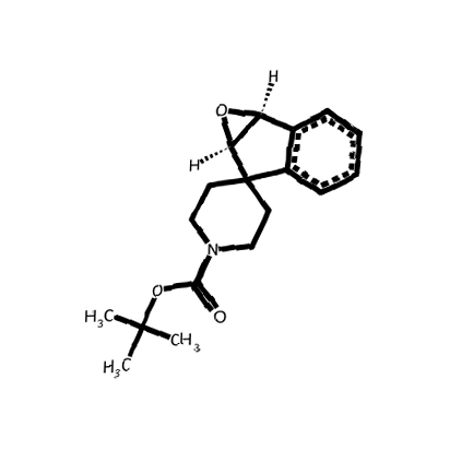 CC(C)(C)OC(=O)N1CCC2(CC1)c1ccccc1[C@@H]1O[C@@H]12